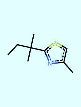 CCC(C)(C)c1nc(C)cs1